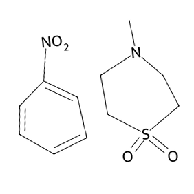 CN1CCS(=O)(=O)CC1.O=[N+]([O-])c1ccccc1